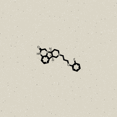 O=C1CN2c3c(cccc3[C@@H]3CN(CCCOc4ccccc4F)CC[C@@H]32)N1